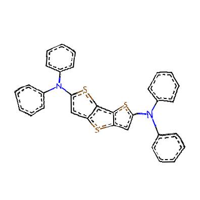 c1ccc(N(c2ccccc2)c2cc3sc4cc(N(c5ccccc5)c5ccccc5)sc4c3s2)cc1